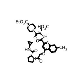 CCOC(=O)N1CCN(C(=O)[C@H](CC(=O)O)NC(=O)c2cc(OCC(=O)N3CCC[C@H]3C(=O)NC3CC3)c3ccc(C)cc3n2)CC1